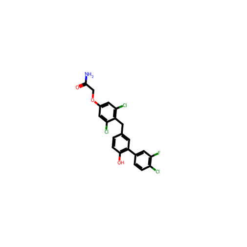 NC(=O)COc1cc(Cl)c(Cc2ccc(O)c(-c3ccc(Cl)c(F)c3)c2)c(Cl)c1